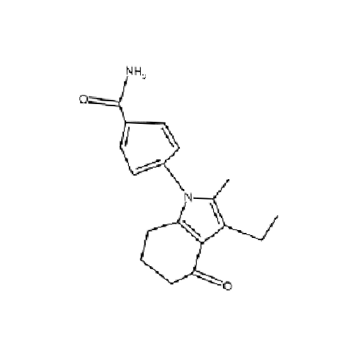 CCc1c2c(n(-c3ccc(C(N)=O)cc3)c1C)CCCC2=O